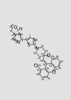 O=C(O)Cn1nnc(-c2cnc(N3CCC4(C=C(c5ccccc5Cl)c5c(Cl)cccc5O4)CC3)s2)n1